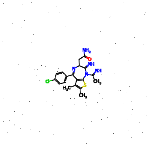 CC(=N)N1C(=N)C(CC(N)=O)N=C(c2ccc(Cl)cc2)c2c1sc(C)c2C